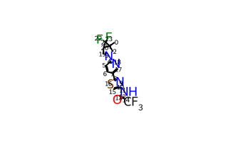 CC12CN(c3ccc(-c4nc(NC(=O)C(F)(F)F)cs4)cn3)CC1C2(F)F